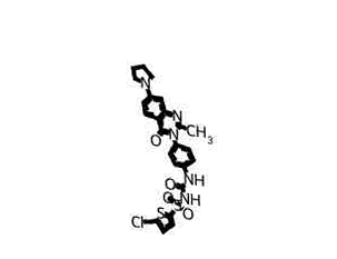 Cc1nc2cc(N3CCCC3)ccc2c(=O)n1-c1ccc(NC(=O)NS(=O)(=O)c2ccc(Cl)s2)cc1